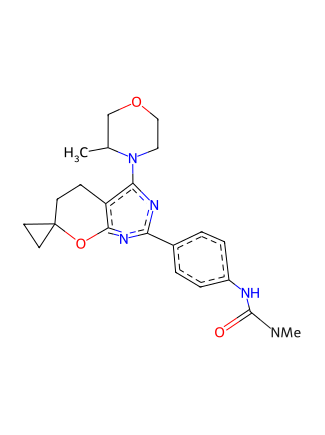 CNC(=O)Nc1ccc(-c2nc3c(c(N4CCOCC4C)n2)CCC2(CC2)O3)cc1